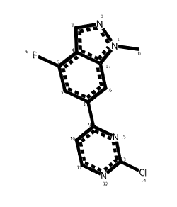 Cn1ncc2c(F)cc(-c3ccnc(Cl)n3)cc21